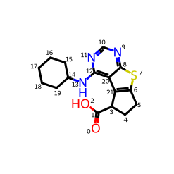 O=C(O)C1CCc2sc3ncnc(NC4CCCCC4)c3c21